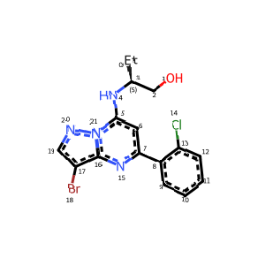 CC[C@@H](CO)Nc1cc(-c2ccccc2Cl)nc2c(Br)cnn12